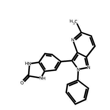 Cc1ccc2nn(-c3ccccc3)c(-c3ccc4[nH]c(=O)[nH]c4c3)c2n1